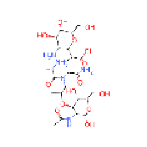 CC(=O)N[C@@H]1[C@@H](OC(C)CN(C(=O)[C@H](C)N)[C@H](CC(C(=O)O)C2O[C@H](CO)[C@@H](O)[C@H](O)[C@H]2N)C(N)=O)[C@H](O)[C@@H](CO)O[C@@H]1O